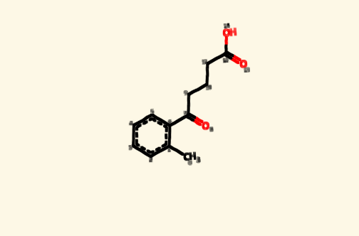 Cc1ccccc1C(=O)CCCC(=O)O